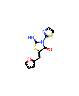 N=C1SC(=Cc2ccco2)C(=O)N1c1nccs1